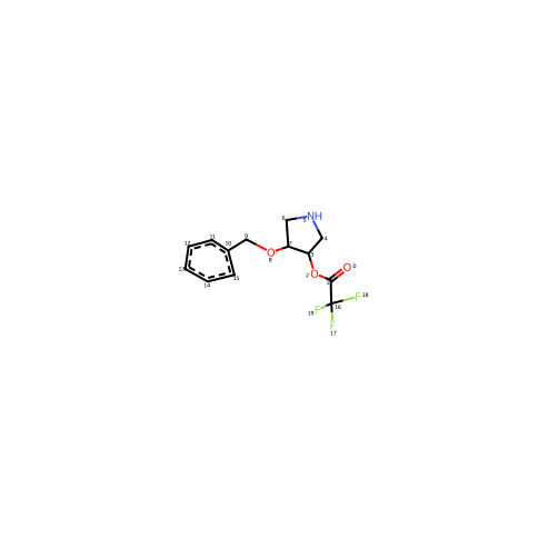 O=C(OC1CNCC1OCc1ccccc1)C(F)(F)F